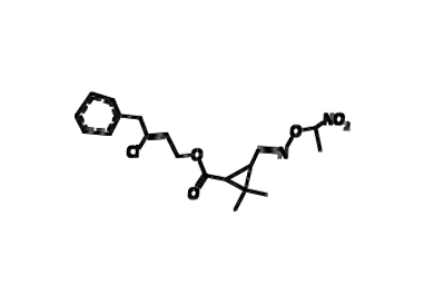 CC(ON=CC1C(C(=O)OCC=C(Cl)Cc2ccccc2)C1(C)C)[N+](=O)[O-]